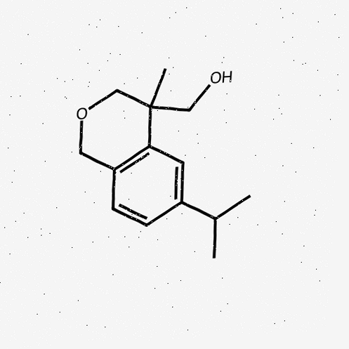 CC(C)c1ccc2c(c1)C(C)(CO)COC2